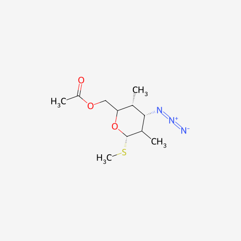 CS[C@@H]1OC(COC(C)=O)[C@H](C)[C@H](N=[N+]=[N-])C1C